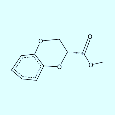 COC(=O)[C@H]1COc2ccccc2O1